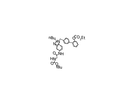 CCCCc1nc2cc(NC(=O)CNC(=O)OC(C)(C)C)ccc2n1Cc1ccc(-c2ccccc2OC(=O)OCC)cc1